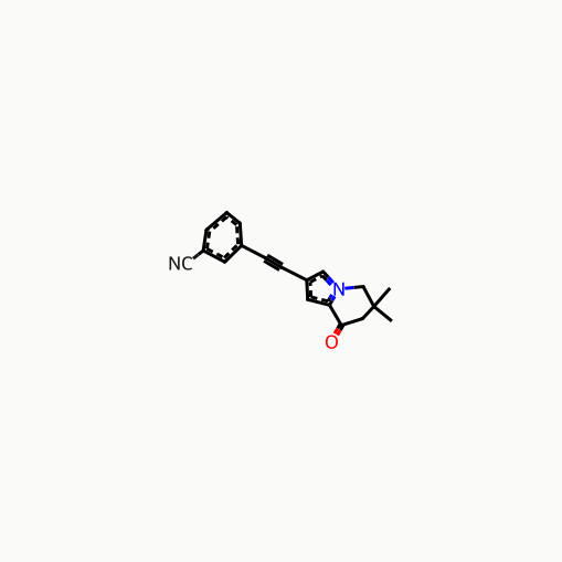 CC1(C)CC(=O)c2cc(C#Cc3cccc(C#N)c3)cn2C1